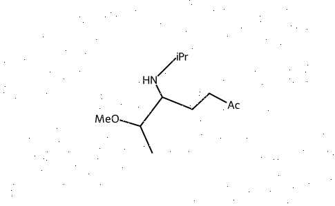 COC(C)C(CCC(C)=O)NC(C)C